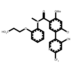 COc1cc(Cl)c(-c2cnc(C(F)(F)F)cc2C#N)cc1C(=O)N(C)c1ccccc1OCCC(=O)O